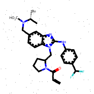 C=CC(=O)N1CCCC1Cn1c(Nc2ccc(C(F)F)cc2)nc2cc(CN(C(=O)O)[C@@H](C)C(C)(C)C)ccc21